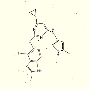 Cc1cc(Nc2cc(C3CC3)nc(Oc3ccc4[nH]c(C)cc4c3F)n2)n[nH]1